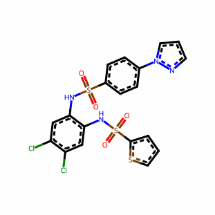 O=S(=O)(Nc1cc(Cl)c(Cl)cc1NS(=O)(=O)c1cccs1)c1ccc(-n2cccn2)cc1